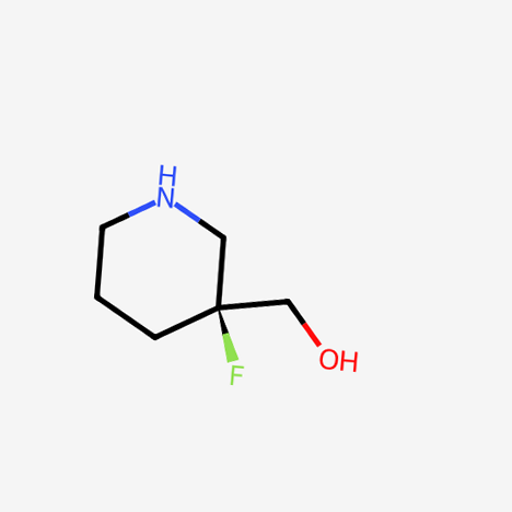 OC[C@]1(F)CCCNC1